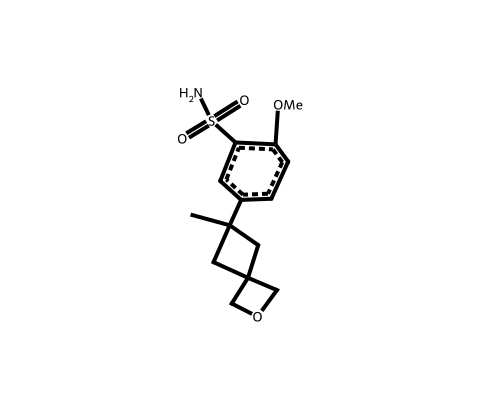 COc1ccc(C2(C)CC3(COC3)C2)cc1S(N)(=O)=O